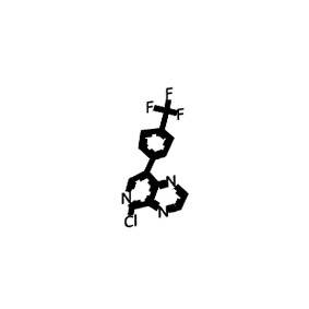 FC(F)(F)c1ccc(-c2cnc(Cl)c3nccnc23)cc1